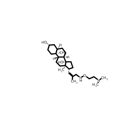 CC(=C[C@H]1CC[C@]2(O)[C@@H]3CC[C@@H]4C[C@@H](O)CC[C@]4(C)[C@H]3CC[C@]12C)CNOCCN(C)C